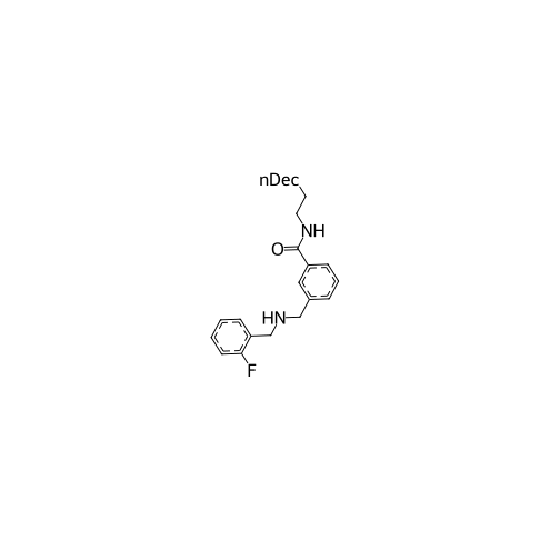 CCCCCCCCCCCCNC(=O)c1cccc(CNCc2ccccc2F)c1